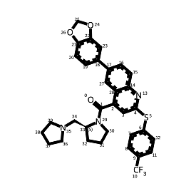 O=C(c1cc(Sc2ccc(C(F)(F)F)cc2)nc2ccc(-c3ccc4c(c3)OCO4)cc12)N1CCC[C@H]1CN1CCCC1